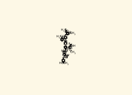 CCOc1nc2[nH]cc(F)c2cc1Oc1cc(N2CCC3(CC2)CN(C2CCN(Cc4ccc(OC)c5oc(C)cc45)CC2c2ccccc2C(C)C)C3)ccc1C(=O)NS(=O)(=O)c1cnc(NCC2CCC(C)(O)CC2)c([N+](=O)[O-])c1